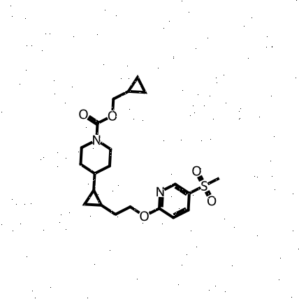 CS(=O)(=O)c1ccc(OCCC2CC2C2CCN(C(=O)OCC3CC3)CC2)nc1